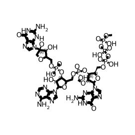 CO[C@H]1C(n2cnc3c(=O)[nH]c(N)nc32)O[C@H](COP(=O)(O)OP(=O)(O)OP(=O)(O)OC)[C@H]1OP(=O)(O)OCC1OC(n2cnc3c(N)ncnc32)[C@H](O)[C@@H]1OP(=O)(O)OCC1OC[C@](O)(n2cnc3c(=O)[nH]c(N)nc32)[C@@H]1O